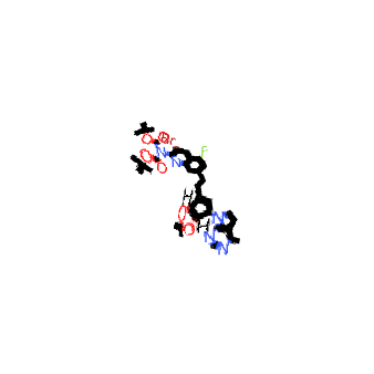 Cc1ncnc2c1ccn2[C@@H]1C=C(CCc2cc(F)c3cc(Br)c(N(C(=O)OC(C)(C)C)C(=O)OC(C)(C)C)nc3c2)[C@H]2OC(C)(C)O[C@H]21